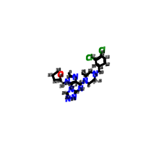 Cc1nc2c(N3C[C@@H](C)N(Cc4ccc(Cl)c(Cl)c4)C[C@@H]3C)nc3nncn3c2n1C[C@@H]1CCCO1